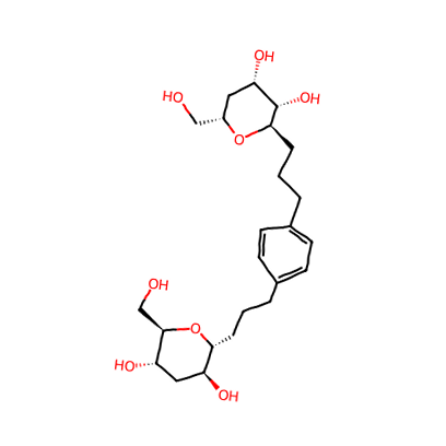 OC[C@@H]1C[C@H](O)[C@H](O)[C@@H](CCCc2ccc(CCC[C@H]3O[C@H](CO)[C@@H](O)C[C@@H]3O)cc2)O1